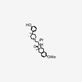 COc1ccc2c(c1)CN(C)[C@@](C)(C(=O)N[C@H](CN1CC[C@@](C)(c3cccc(O)c3)[C@@H](C)C1)C(C)C)C2